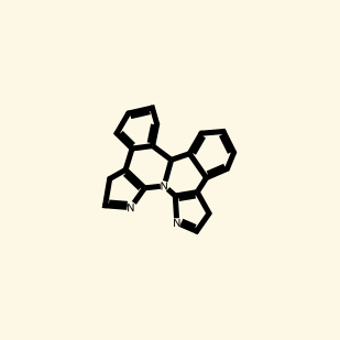 C1=NC2=C(C1)c1ccccc1C1c3ccccc3C3=C(N=CC3)N21